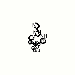 CC(C)(C)OC(=O)NC1CCC12CCN(c1cc(Nc3cc(OC(F)(F)F)ccn3)nc(-c3cccnc3)n1)C2